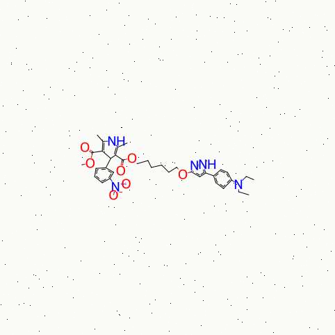 CCN(CC)c1ccc(-c2cc(OCCCCCCOC(=O)C3=C(C)NC(C)=C(C(=O)OC)C3c3cccc([N+](=O)[O-])c3)n[nH]2)cc1